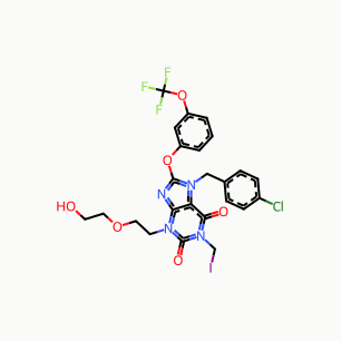 O=c1c2c(nc(Oc3cccc(OC(F)(F)F)c3)n2Cc2ccc(Cl)cc2)n(CCOCCO)c(=O)n1CI